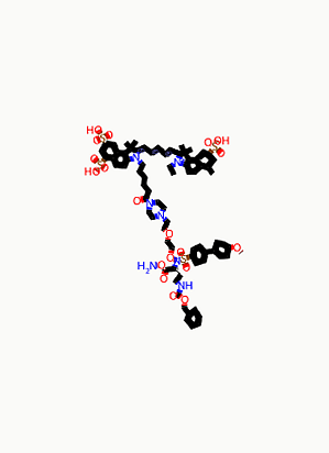 CC[N+]1=C(/C=C/C=C/C=C2\N(CCCCCC(=O)N3CCN(CCOCCON([C@H](CCNC(=O)OCc4ccccc4)C(=O)ON)S(=O)(=O)c4ccc(-c5ccc(OC)cc5)cc4)CC3)c3ccc4c(S(=O)(=O)O)cc(S(=O)(=O)O)cc4c3C2(C)C)C(C)(C)c2c1ccc1c(C)cc(S(=O)(=O)O)cc21